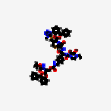 CCN1CCN(C(=O)N[C@H](C(=O)N[C@@H]2C(=O)N3C(C(=O)OC(c4ccccc4)c4ccccc4)=C(CSc4nnnn4C)CS[C@H]23)c2ccc(CNC(=O)OCC(NC(=O)OC(C)(C)C)C(=O)OC(c3ccccc3)c3ccccc3)cc2)C(=O)C1=O